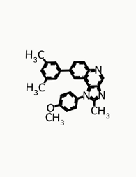 COc1ccc(-n2c(C)nc3cnc4ccc(-c5cc(C)cc(C)c5)cc4c32)cc1